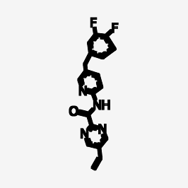 C=Cc1cnc(C(=O)Nc2ccc(Cc3ccc(F)c(F)c3)cn2)nc1